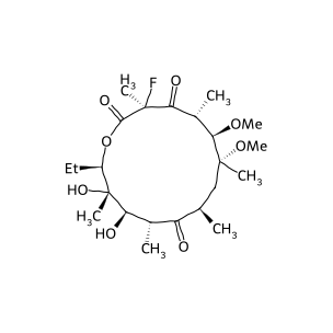 CC[C@H]1OC(=O)[C@@](C)(F)C(=O)[C@H](C)[C@@H](OC)[C@](C)(OC)C[C@@H](C)C(=O)[C@H](C)[C@@H](O)[C@]1(C)O